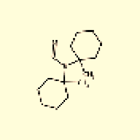 CC1(B(C=O)C2(C)CCCCC2)CCCCC1